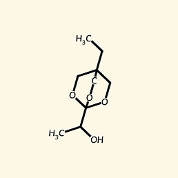 CCC12COC(C(C)O)(OC1)OC2